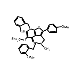 CCOC(=O)Oc1cn(Cc2ccccc2OC)c2sc(-c3ccc(OC)cc3)c(CN(C)CCc3ccccc3OC)c2c1=O